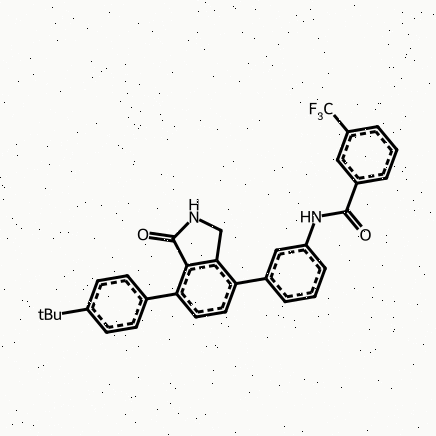 CC(C)(C)c1ccc(-c2ccc(-c3cccc(NC(=O)c4cccc(C(F)(F)F)c4)c3)c3c2C(=O)NC3)cc1